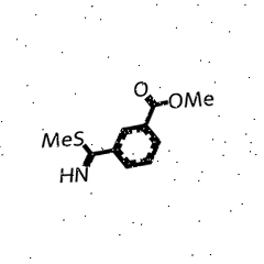 COC(=O)c1cccc(C(=N)SC)c1